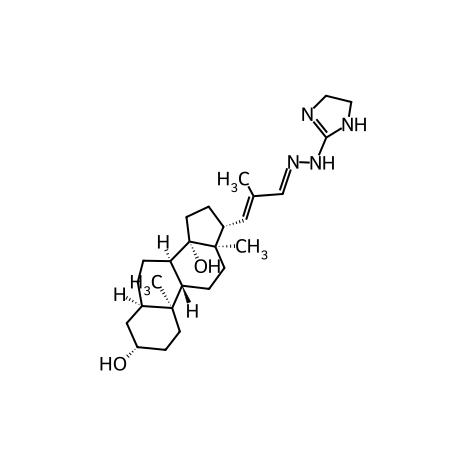 CC(/C=N/NC1=NCCN1)=C\[C@H]1CC[C@]2(O)[C@@H]3CC[C@@H]4C[C@@H](O)CC[C@]4(C)[C@H]3CC[C@]12C